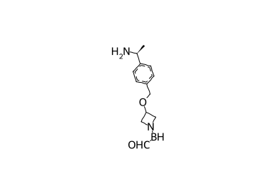 C[C@H](N)c1ccc(COC2CN(BC=O)C2)cc1